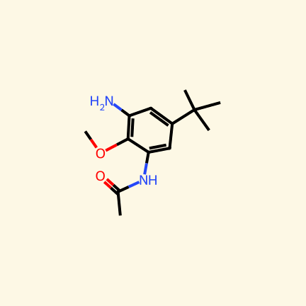 COc1c(N)cc(C(C)(C)C)cc1NC(C)=O